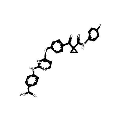 O=C(O)c1ccc(Nc2nccc(Oc3ccc(C(=O)C4(C(=O)Nc5ccc(F)cc5)CC4)cc3)n2)cc1